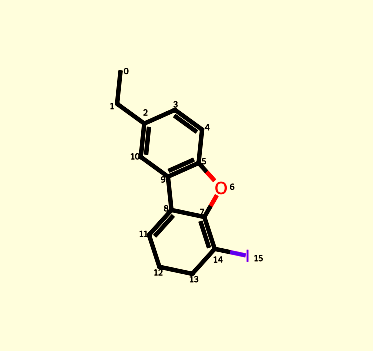 CCc1ccc2oc3c(c2c1)=CCCC=3I